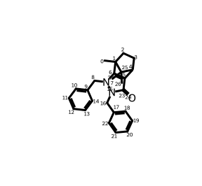 CC12CCC(c3c1n(Cc1ccccc1)n(Cc1ccccc1)c3=O)C2(C)C